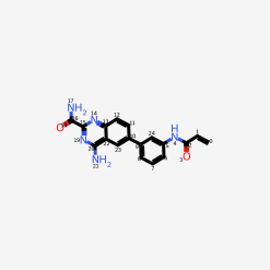 C=CC(=O)Nc1cccc(-c2ccc3nc(C(N)=O)nc(N)c3c2)c1